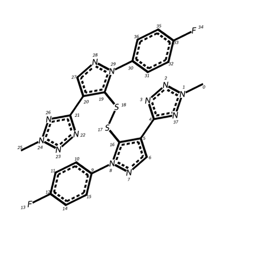 Cn1nnc(-c2cnn(-c3ccc(F)cc3)c2SSc2c(-c3nnn(C)n3)cnn2-c2ccc(F)cc2)n1